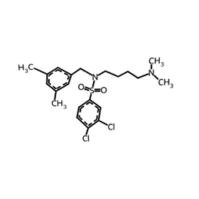 Cc1cc(C)cc(CN(CCCCN(C)C)S(=O)(=O)c2ccc(Cl)c(Cl)c2)c1